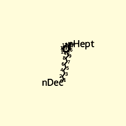 CCCCCCCCCCCCCCCCCCCc1ccc[n+](CCCCCCC)c1